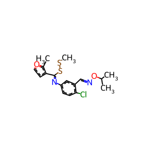 CSSC(=Nc1ccc(Cl)c(C=NOC(C)C)c1)c1ccoc1C